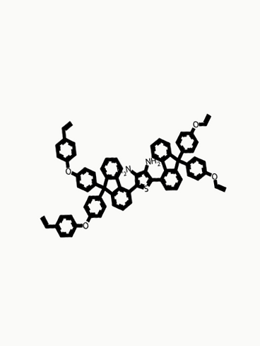 C=COc1ccc(C2(c3ccc(OC=C)cc3)c3ccccc3-c3c(-c4sc(-c5cccc6c5-c5ccccc5C6(c5ccc(Oc6ccc(C=C)cc6)cc5)c5ccc(Oc6ccc(C=C)cc6)cc5)c(N)c4N)cccc32)cc1